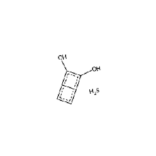 Oc1c2ccc-2c1O.S